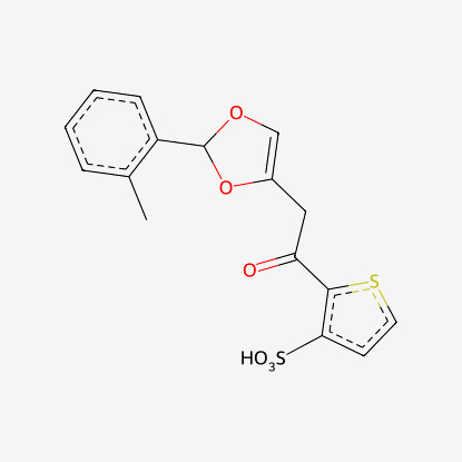 Cc1ccccc1C1OC=C(CC(=O)c2sccc2S(=O)(=O)O)O1